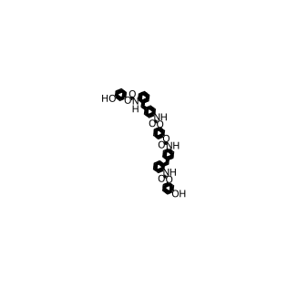 O=C(Nc1ccc(Cc2ccccc2NC(=O)Oc2cccc(O)c2)cc1)Oc1cccc(OC(=O)Nc2ccc(Cc3ccccc3NC(=O)Oc3cccc(O)c3)cc2)c1